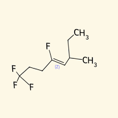 CCC(C)/C=C(\F)CCC(F)(F)F